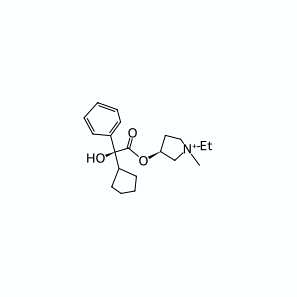 CC[N+]1(C)CC[C@H](OC(=O)[C@@](O)(c2ccccc2)C2CCCC2)C1